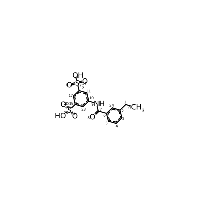 CCc1cccc(C(=O)Nc2cc(S(=O)(=O)O)cc(S(=O)(=O)O)c2)c1